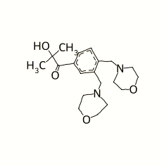 CC(C)(O)C(=O)c1ccc(CN2CCOCC2)c(CN2CCOCC2)c1